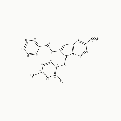 O=C(O)c1ccc2c(c1)cc(COc1ccccc1)n2Cc1ccc(C(F)(F)F)cc1F